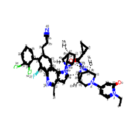 CCn1ccc(N2C[C@@H]3C[C@H](C2)N(C(=O)C2CC2)[C@H]3c2cc3c(C)nc4c(F)c(-c5cccc(Cl)c5Cl)c(CCC#N)cc4c3n2[C@H]2[C@H]3CN[C@@H]2C3)cc1=O